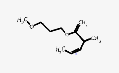 C=C(OCCCOC)C(C)/C=C\C